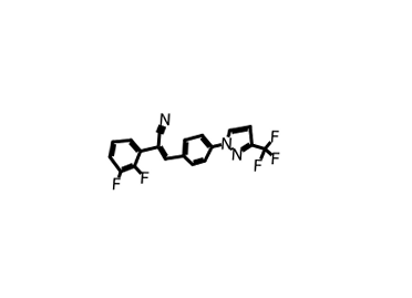 N#CC(=Cc1ccc(-n2ccc(C(F)(F)F)n2)cc1)c1cccc(F)c1F